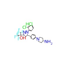 Cl.NC1CCN(c2ccc(C3CC(C(O)(C(F)(F)F)C(F)(F)F)=NN3c3ccccc3Cl)cc2)CC1